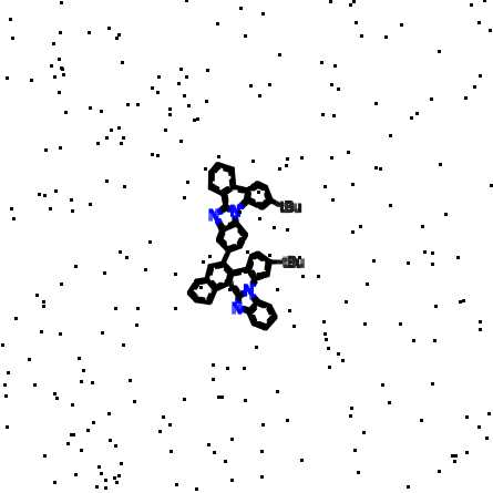 CC(C)(C)c1ccc2c3ccccc3c3nc4cc(-c5cc6ccccc6c6c5c5ccc(C(C)(C)C)cc5n5c7ccccc7nc65)ccc4n3c2c1